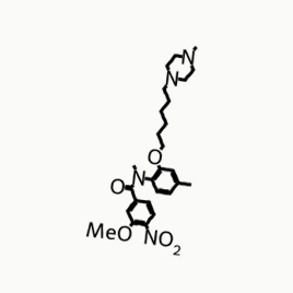 COc1cc(C(=O)N(C)c2ccc(C)cc2OCCCCCCN2CCN(C)CC2)ccc1[N+](=O)[O-]